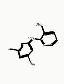 COc1cc(Cl)cc(Nc2ncccc2C=O)c1